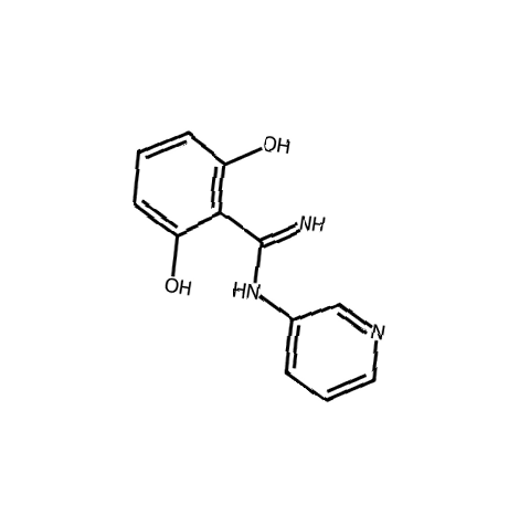 N=C(Nc1cccnc1)c1c(O)cccc1O